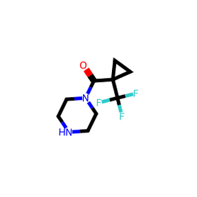 O=C(N1CCNCC1)C1(C(F)(F)F)CC1